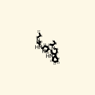 C=C(CC)N1CCc2c([nH]c3ccccc23)[C@H]1c1ccc(NC2CN(CCC)C2)nc1